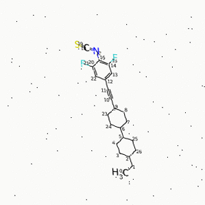 CCC1CCC(C2CCC(C#Cc3cc(F)c(N=C=S)c(F)c3)CC2)CC1